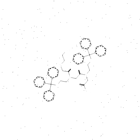 NC(=O)CN(CCOC(c1ccccc1)(c1ccccc1)c1ccccc1)C(=O)CN(CCOC(c1ccccc1)(c1ccccc1)c1ccccc1)C(=O)CNCCO